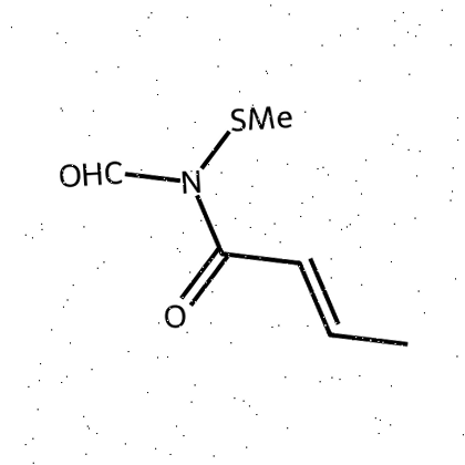 C/C=C/C(=O)N(C=O)SC